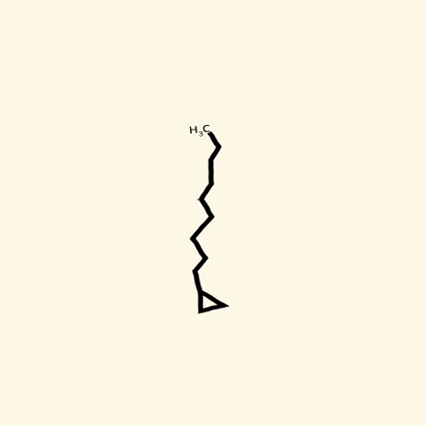 CCCC[CH]CCCCC1CC1